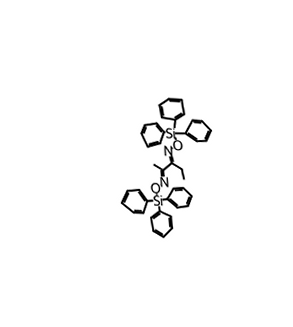 CCC(=N\O[Si](c1ccccc1)(c1ccccc1)c1ccccc1)/C(C)=N/O[Si](c1ccccc1)(c1ccccc1)c1ccccc1